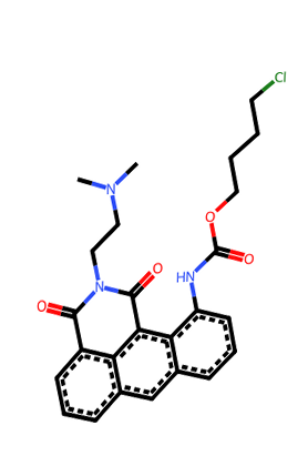 CN(C)CCN1C(=O)c2cccc3cc4cccc(NC(=O)OCCCCCl)c4c(c23)C1=O